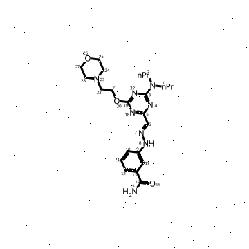 CCCN(CCC)c1nc(/C=N/Nc2cccc(C(N)=O)c2)nc(OCCN2CCOCC2)n1